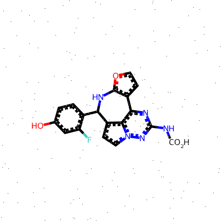 O=C(O)Nc1nc2c3c(ccn3n1)C(c1ccc(O)cc1F)Nc1occc1-2